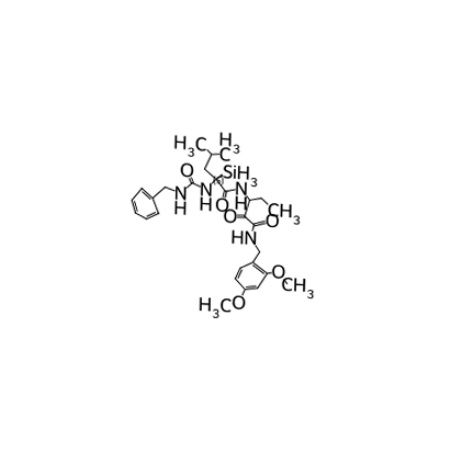 CCC(NC(=O)[C@@]([SiH3])(CC(C)C)NC(=O)NCc1ccccc1)C(=O)C(=O)NCc1ccc(OC)cc1OC